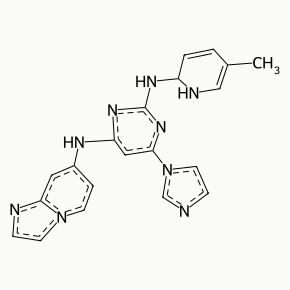 CC1=CNC(Nc2nc(Nc3ccn4ccnc4c3)cc(-n3ccnc3)n2)C=C1